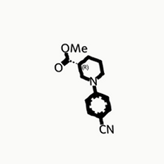 COC(=O)[C@@H]1CCCN(c2ccc(C#N)cc2)C1